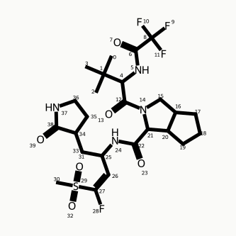 CC(C)(C)C(NC(=O)C(F)(F)F)C(=O)N1CC2CCCC2C1C(=O)NC(C=C(F)S(C)(=O)=O)CC1CCNC1=O